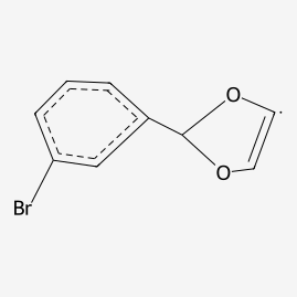 Brc1cccc(C2O[C]=CO2)c1